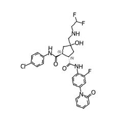 O=C(Nc1ccc(Cl)cc1)[C@H]1CC(O)(CNCC(F)F)C[C@@H]1C(=O)Nc1ccc(-n2ccccc2=O)cc1F